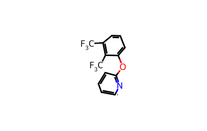 FC(F)(F)c1cccc(Oc2ccc[c]n2)c1C(F)(F)F